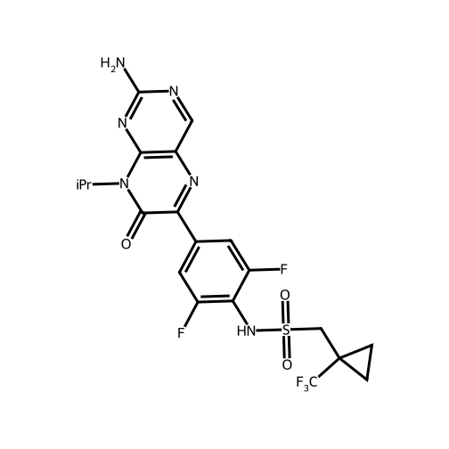 CC(C)n1c(=O)c(-c2cc(F)c(NS(=O)(=O)CC3(C(F)(F)F)CC3)c(F)c2)nc2cnc(N)nc21